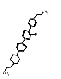 CCCc1ccc(-c2ccc(-c3ccc(C4CCC(CCC)CC4)cc3)cc2F)cc1